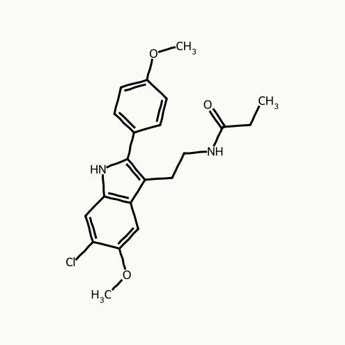 CCC(=O)NCCc1c(-c2ccc(OC)cc2)[nH]c2cc(Cl)c(OC)cc12